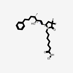 CCNC(=O)CCCCCCN1C(=O)C(F)(F)C[C@@H]1/C=C/[C@@H](O)[C@@H](C)CCCc1ccccc1